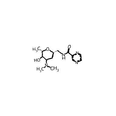 C[C@@H]1O[C@H](CNC(=O)c2cnccn2)CC(N(C)C)C1O